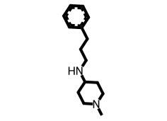 CN1CCC(NCCCc2ccccc2)CC1